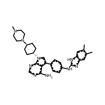 Cc1cc2nc(Nc3ccc(-c4cn([C@H]5CC[C@H](N6CCN(C)CC6)CC5)c5ncnc(N)c45)cc3)[nH]c2cc1C